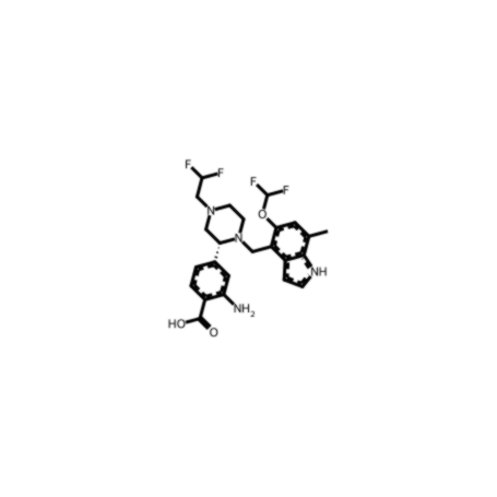 Cc1cc(OC(F)F)c(CN2CCN(CC(F)F)C[C@H]2c2ccc(C(=O)O)c(N)c2)c2cc[nH]c12